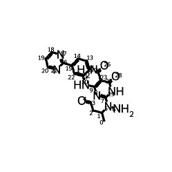 CC(CC=O)N(N)c1nc(Nc2cccc(-c3ncccn3)c2)c(C(N)=O)c(=O)[nH]1